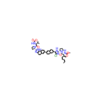 C=C(/C=C\C=C/C)[C@@H](NC(=O)OC)C(=O)N1CCC[C@H]1c1nc(Cl)c(-c2ccc3cc(-c4ccc5c(ccc6nc([C@@H]7CCCN7C(=O)[C@@H](NC(=O)OC)C(C)C)[nH]c65)c4)ccc3c2)[nH]1